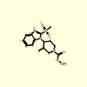 CCCOC(=O)N1CCC(n2c(S(C)(=O)=O)nc3ccccc32)C(C)C1